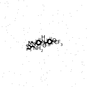 NC1=c2ccsc2=NCN1c1ccc(NC(=O)c2ccc(OC(F)(F)F)cc2)cc1